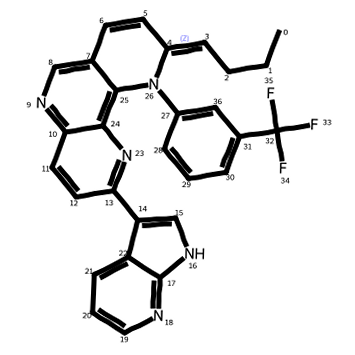 CCC/C=C1/C=Cc2cnc3ccc(-c4c[nH]c5ncccc45)nc3c2N1c1cccc(C(F)(F)F)c1